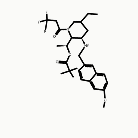 CCC1C[C@@H](NCc2ccc3cc(OC)ccc3c2)C([C@H](C)OC(=O)C(C)(C)C)N(C(=O)CC(F)(F)F)C1